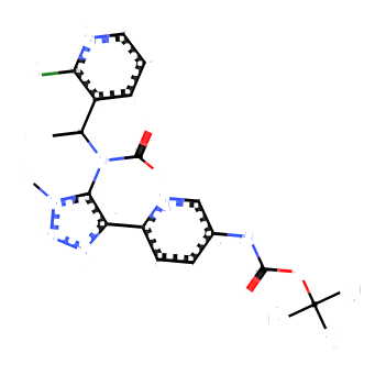 CC(c1cccnc1Cl)N(C(=O)O)c1c(-c2ccc(NC(=O)OC(C)(C)C)cn2)nnn1C